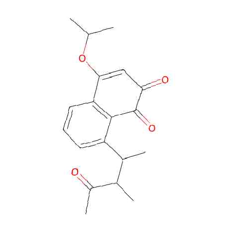 CC(=O)C(C)C(C)c1cccc2c1C(=O)C(=O)C=C2OC(C)C